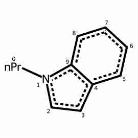 CCCn1ccc2cc[c]cc21